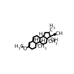 C#C[C@]1(O)[C@@H](C)C[C@H]2[C@@H]3CC=C4C=C(OC)CC[C@]4(C)[C@H]3CC[C@@]21C